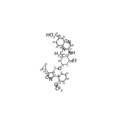 CCC1CC(OCc2c(-c3ccccc3OC(F)(F)F)noc2C2CC2)CC(C)C1Nc1cnc2cc(C(=O)O)ccc2n1